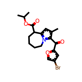 Cc1cc2n(c1C(=O)c1cc(Br)co1)CCCCC2C(=O)OC(C)C